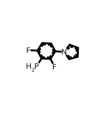 Fc1ccc(-n2cccc2)c(F)c1P